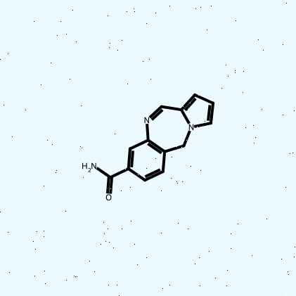 NC(=O)c1ccc2c(c1)N=Cc1cccn1C2